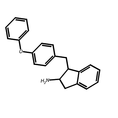 NC1Cc2ccccc2C1Cc1ccc(Oc2ccccc2)cc1